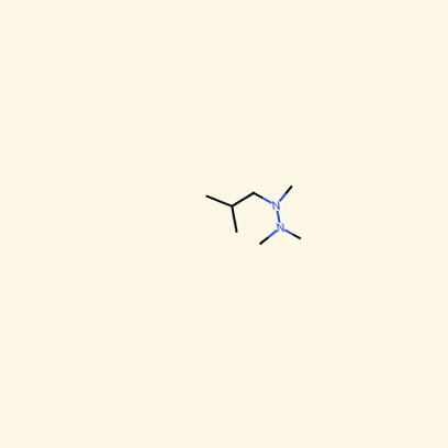 CC(C)CN(C)N(C)C